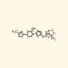 Cc1ccn(-c2ccc(-c3nnc(OC4CC5CCC(C)(C4)N5)s3)c(O)c2)n1